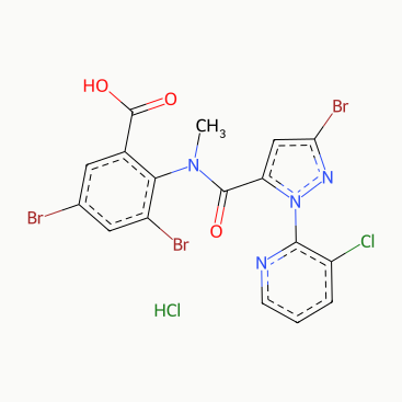 CN(C(=O)c1cc(Br)nn1-c1ncccc1Cl)c1c(Br)cc(Br)cc1C(=O)O.Cl